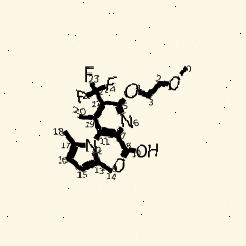 COCCOc1nc(C(=O)O)c(-n2c(C)ccc2C)c(C)c1C(F)(F)F